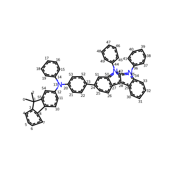 CC1(C)c2ccccc2-c2ccc(N(c3ccccc3)c3ccc(-c4ccc5c6c7ccccc7n(-c7ccccc7)c6n(-c6ccccc6)c5c4)cc3)cc21